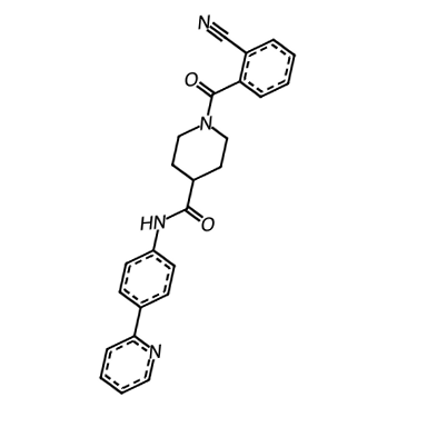 N#Cc1ccccc1C(=O)N1CCC(C(=O)Nc2ccc(-c3ccccn3)cc2)CC1